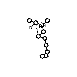 N#Cc1cc(-c2nc(-c3ccccc3)nc(-c3cccc(-c4c(C#N)cccc4-c4cccc(-c5ccc(-c6ccc7ccc8ccccc8c7c6)cc5)c4)c3)n2)ccc1-c1ccccc1